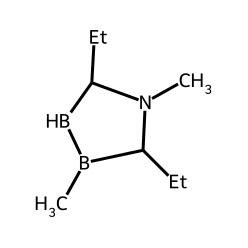 CCC1BB(C)C(CC)N1C